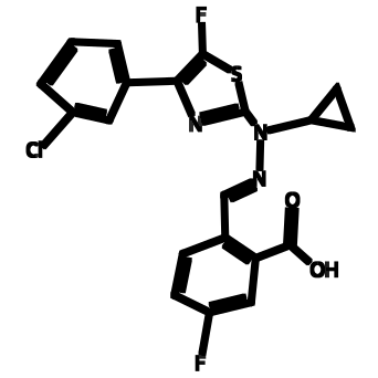 O=C(O)c1cc(F)ccc1/C=N/N(c1nc(-c2cccc(Cl)c2)c(F)s1)C1CC1